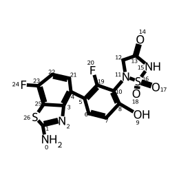 Nc1nc2c(-c3ccc(O)c(N4CC(=O)NS4(=O)=O)c3F)ccc(F)c2s1